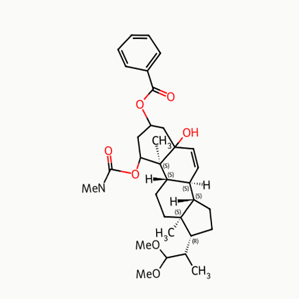 CNC(=O)OC1CC(OC(=O)c2ccccc2)CC2(O)C=C[C@H]3[C@@H]4CC[C@H](C(C)C(OC)OC)[C@@]4(C)CC[C@@H]3[C@@]12C